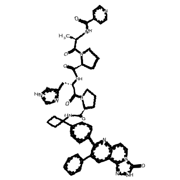 C[C@@H](NC(=O)c1ccncc1)C(=O)N1CCC[C@H]1C(=O)N[C@@H](Cc1c[nH]cn1)C(=O)N1CCC[C@H]1C(=O)NC1(c2ccc(-c3nc4ccn5c(=O)[nH]nc5c4cc3-c3ccccc3)cc2)CCC1